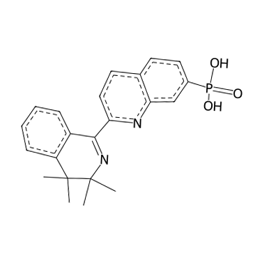 CC1(C)N=C(c2ccc3ccc(P(=O)(O)O)cc3n2)c2ccccc2C1(C)C